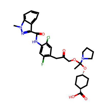 Cn1nc(C(=O)Nc2cc(F)c(CC(=O)COC(C)(O[C@H]3CC[C@H](C(=O)O)CC3)N3CCCC3)cc2Cl)c2ccccc21